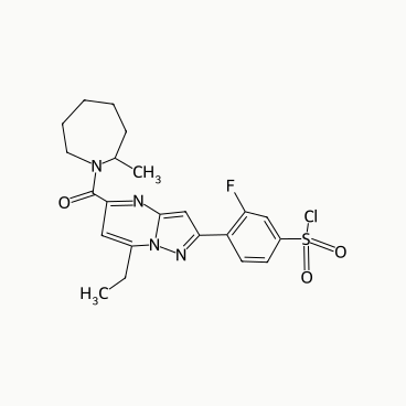 CCc1cc(C(=O)N2CCCCCC2C)nc2cc(-c3ccc(S(=O)(=O)Cl)cc3F)nn12